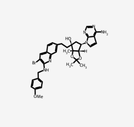 COc1ccc(CNc2nc3cc(CC[C@]4(O)C[C@@H](n5ccc6c(N)ncnc65)[C@@H]5OC(C)(C)O[C@@]54C)ccc3cc2Br)cc1